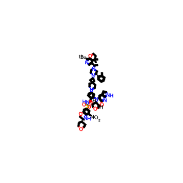 Cc1ccccc1[C@@H]1CN(C(C)c2cnc(C(C)(C)C)c3c2C(C)(C)CCO3)CCN1C1CC2(CCN(c3ccc(C(=O)NS(=O)(=O)c4cc5c(c([N+](=O)[O-])c4)N[C@H](C4CCOCC4)CO5)c(N4c5cc6cc[nH]c6nc5O[C@H]5COCC[C@@H]54)c3)CC2)C1